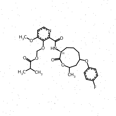 COc1ccnc(C(=O)N[C@H]2CCCC(Oc3ccc(F)cc3)CC(C)OC2=O)c1OCOC(=O)C(C)C